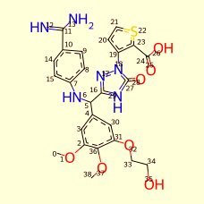 COc1cc(C(Nc2ccc(C(=N)N)cc2)c2nn(-c3ccsc3C(=O)O)c(=O)[nH]2)cc(OCCO)c1OC